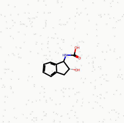 O=C(O)NC1c2ccccc2C[C@H]1O